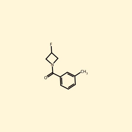 Cc1cccc(C(=O)N2CC(F)C2)c1